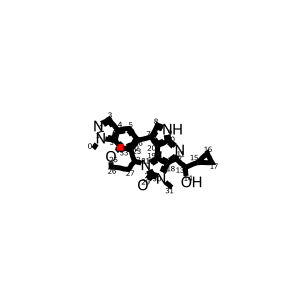 Cn1ncc2cc(-c3c[nH]c4nc(C(O)C5CC5)c5c(c34)n(C3CCOCC3)c(=O)n5C)ccc21